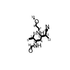 C=C(I)/C(=C\C(NCCOC)=C(/C)C#N)NC=O